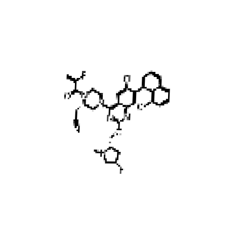 C=C(F)C(=O)N1CCN(c2nc(OC[C@@H]3C[C@@H](F)CN3C)nc3cc(-c4cccc5cccc(Cl)c45)c(Cl)cc23)C[C@@H]1CC#N